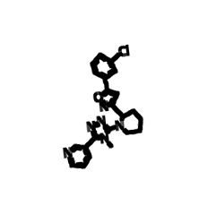 Cn1c(-c2cccnc2)nnc1N1CCCCC1c1cc(-c2cccc(Cl)c2)on1